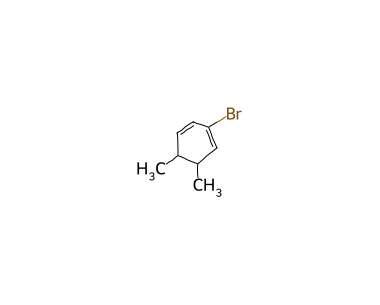 CC1C=CC(Br)=CC1C